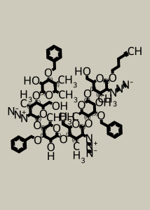 C#CCCCO[C@@H]1OC(CO)[C@@H](O[C@@H]2OC(C)[C@@H](O[C@@H]3OC(CO)[C@@H](O[C@@H]4OC(C)[C@@H](O[C@@H]5OC(CO)[C@@H](O[C@@H]6OC(C)[C@@H](C)[C@@H](OCc7ccccc7)C6O)[C@H](C)C5N=[N+]=[N-])[C@@H](OCc5ccccc5)C4O)[C@H](C)C3N=[N+]=[N-])[C@@H](OCc3ccccc3)C2O)[C@H](C)C1N=[N+]=[N-]